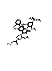 C=CC(=O)N1CCN(c2nc(=O)n(-c3c(C)cc(N(C)C)cc3CCC)c3nc(-c4ccccc4F)c(Cl)cc23)[C@@H](C)C1